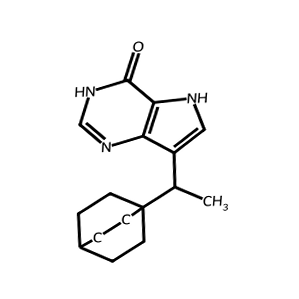 CC(c1c[nH]c2c(=O)[nH]cnc12)C12CCC(CC1)CC2